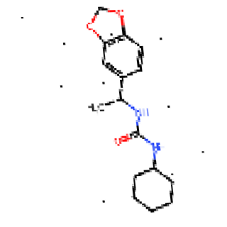 CC(NC(=O)NC1CCCCC1)c1ccc2c(c1)OCO2